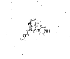 CCOCCn1cc(C2CCNCC2)c2cccnc21